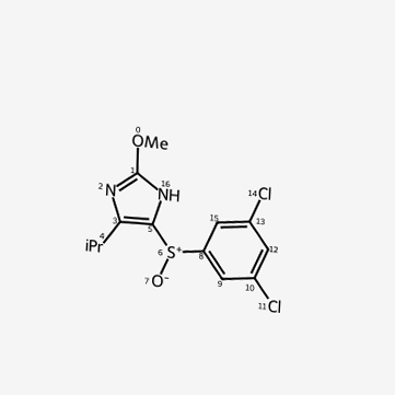 COc1nc(C(C)C)c([S+]([O-])c2cc(Cl)cc(Cl)c2)[nH]1